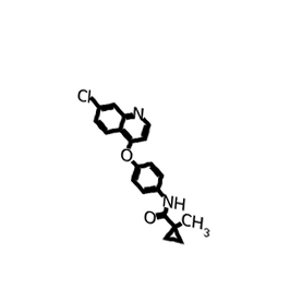 CC1(C(=O)Nc2ccc(Oc3ccnc4cc(Cl)ccc34)cc2)CC1